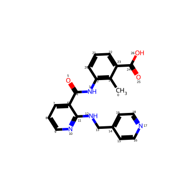 Cc1c(NC(=O)c2cccnc2NCc2ccncc2)cccc1C(=O)O